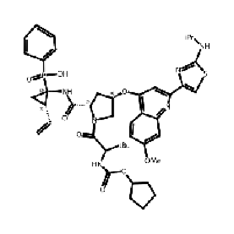 C=C[C@@H]1C[C@]1(NC(=O)[C@@H]1C[C@@H](Oc2cc(-c3csc(NC(C)C)n3)nc3cc(OC)ccc23)CN1C(=O)C(NC(=O)OC1CCCC1)C(C)(C)C)P(=O)(O)c1ccccc1